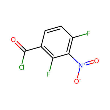 O=C(Cl)c1ccc(F)c([N+](=O)[O-])c1F